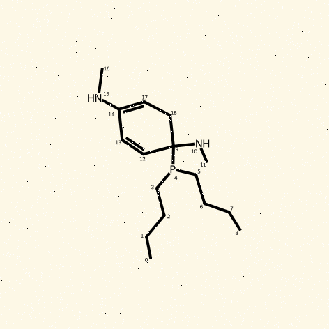 CCCCP(CCCC)C1(NC)C=CC(NC)=CC1